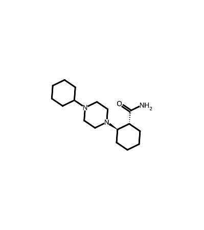 NC(=O)[C@@H]1CCCC[C@H]1N1CCN(C2CCCCC2)CC1